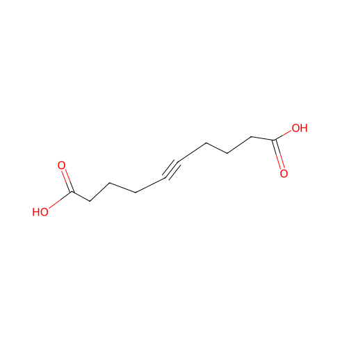 O=C(O)CCCC#CCCCC(=O)O